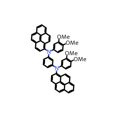 COc1ccc(N(c2cccc(N(c3ccc(OC)c(OC)c3)c3ccc4ccc5cccc6ccc3c4c56)c2)c2ccc3ccc4cccc5ccc2c3c45)cc1OC